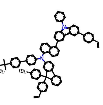 C=Cc1ccc(-c2ccc3c(c2)c2cc(-c4cccc5c(N(c6ccc(-c7ccc(C(C)(C)CC(C)(C)C)cc7)cc6)c6ccc7c(c6)C(c6ccc(C=C)cc6)(c6ccc(C(C)(C)C)cc6)c6ccccc6-7)cccc45)ccc2n3-c2ccccc2)cc1